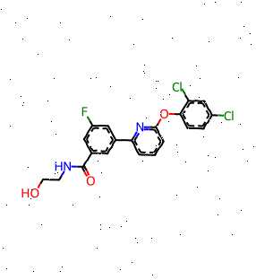 O=C(NCCO)c1cc(F)cc(-c2cccc(Oc3ccc(Cl)cc3Cl)n2)c1